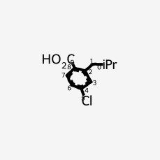 CC(C)Cc1cc(Cl)ccc1C(=O)O